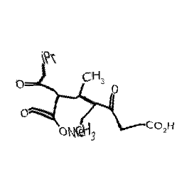 COC(=O)C(C(=O)C(C)C)C(C)C(C)C(=O)CC(=O)O